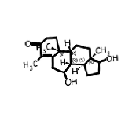 CC1=C2CC(O)[C@@H]3[C@@H](CC[C@]4(C)C(O)CC[C@@H]34)[C@@]2(C)CCC1=O